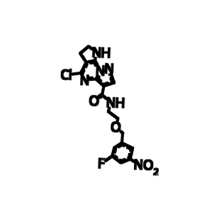 O=C(NCCOCc1cc(F)cc([N+](=O)[O-])c1)c1cnn2c3c(c(Cl)nc12)CCN3